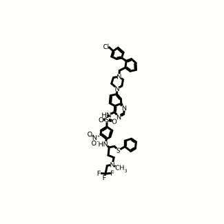 CN(CCC(CSc1ccccc1)Nc1ccc(S(=O)(=O)Nc2ncnc3cc(N4CCN(Cc5ccccc5-c5ccc(Cl)cc5)CC4)ccc23)cc1[N+](=O)[O-])CC(F)(F)F